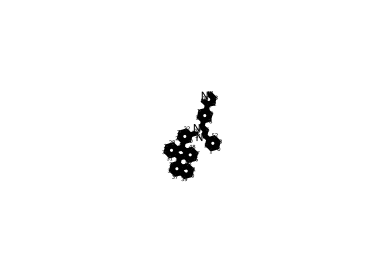 c1ccc(-c2cc(-c3ccc(-c4cccnc4)cc3)nc(-c3cccc(-c4c5ccccc5c(-c5cccc6ccccc56)c5ccccc45)c3)n2)cc1